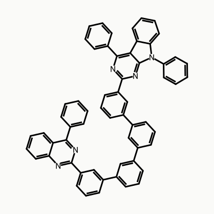 c1ccc(-c2nc(-c3cccc(-c4cccc(-c5cccc(-c6cccc(-c7nc(-c8ccccc8)c8c9ccccc9n(-c9ccccc9)c8n7)c6)c5)c4)c3)nc3ccccc23)cc1